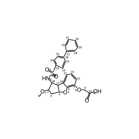 COC1CC2Oc3c(OCC(=O)O)cccc3C2C1NS(=O)(=O)c1ccc(-c2ccccc2)cc1